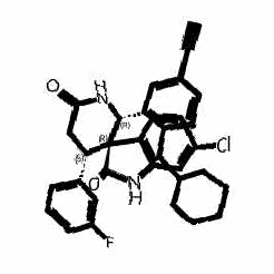 C#Cc1ccc(CC2CCCCC2)c([C@H]2NC(=O)C[C@@H](c3cccc(F)c3)[C@]23C(=O)Nc2cc(Cl)ccc23)c1